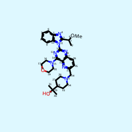 COC(C)c1nc2ccccc2n1-c1nc(N2CCOCC2)c2nc(CN3CCC(C(C)(C)O)CC3)ccc2n1